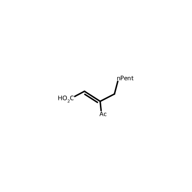 CCCCCCC(=CC(=O)O)C(C)=O